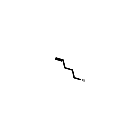 C=CCC[CH2][Hg]